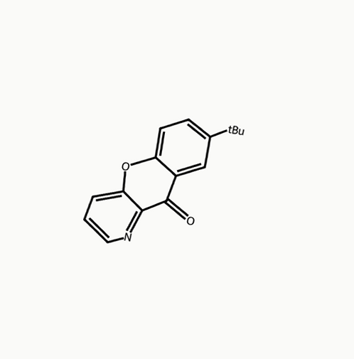 CC(C)(C)c1ccc2oc3cccnc3c(=O)c2c1